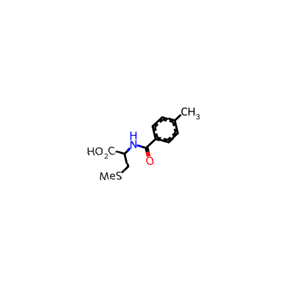 CSCC(NC(=O)c1ccc(C)cc1)C(=O)O